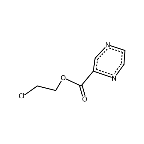 O=C(OCCCl)c1cnccn1